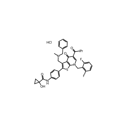 CC(C)C(=O)c1cn(Cc2c(F)cccc2F)c2sc(-c3ccc(NC(=O)C4(O)CC4)cc3)c(CN(C)Cc3ccccc3)c2c1=O.Cl